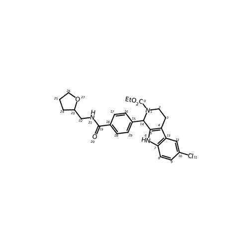 CCOC(=O)N1CCc2c([nH]c3ccc(Cl)cc23)C1c1ccc(C(=O)NCC2CCCO2)cc1